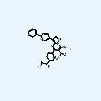 CC(=O)c1c(C2CCC([C@H](F)C(=O)O)CC2)nc2c(-c3ccc(-c4ccccc4)nc3)cnn2c1N